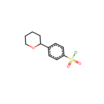 O=S(=O)(Cl)c1ccc(C2CCCCO2)cc1